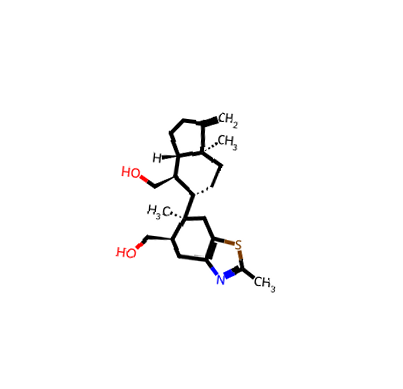 C=C1CC[C@H]2[C@H](CO)[C@@H]([C@@]3(C)Cc4sc(C)nc4C[C@H]3CO)CC[C@]12C